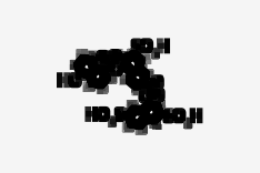 O=S(=O)(O)c1cc(OS(=O)(=O)c2ccc3c(OS(=O)(=O)c4cccc5c(O)cccc45)cc(S(=O)(=O)O)cc3c2)c2cc(S(=O)(=O)O)ccc2c1